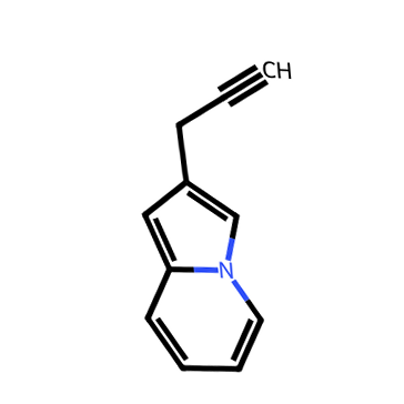 C#CCc1cc2ccccn2c1